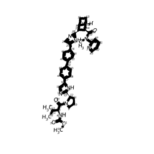 COC(=O)N[C@H](C(=O)N1CCC[C@H]1c1ncc(-c2ccc(-c3ccc(-c4cnc([C@@H]5C6CC[C@H]6[C@H]5C(=O)N(C)c5ccccn5)[nH]4)cc3)cc2)[nH]1)C(C)C